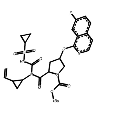 C=CC1CC1N(C(=O)NS(=O)(=O)C1CC1)C(=O)C1CC(Oc2nccc3ccc(F)cc23)CN1C(=O)OC(C)(C)C